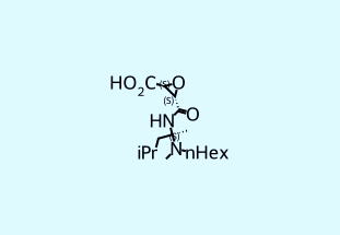 CCCCCCN(C)[C@@](C)(CC(C)C)NC(=O)[C@H]1O[C@@H]1C(=O)O